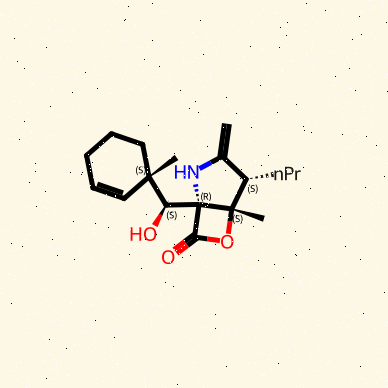 C=C1N[C@@]2([C@@H](O)[C@]3(C)C=CCCC3)C(=O)O[C@@]2(C)[C@H]1CCC